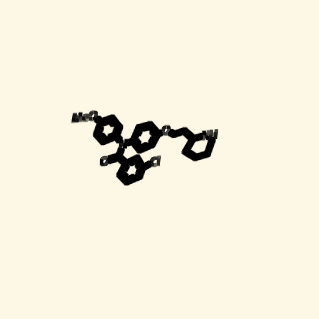 COc1ccc(N(C(=O)c2cccc(Cl)c2)c2ccc(OCCC3CCCCN3)cc2)cc1